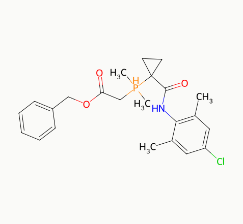 Cc1cc(Cl)cc(C)c1NC(=O)C1([PH](C)(C)CC(=O)OCc2ccccc2)CC1